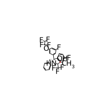 C[C@H](O)C(N[C@](Cc1ccccc1)(c1ccc(F)cc1)c1cc(F)cc(OC(F)(F)C(F)F)c1)C(F)(F)F